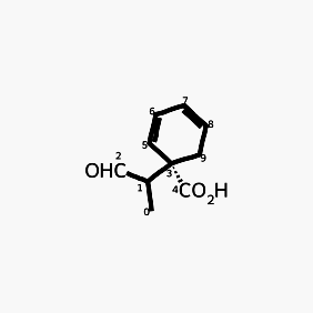 CC(C=O)[C@@]1(C(=O)O)C=CC=CC1